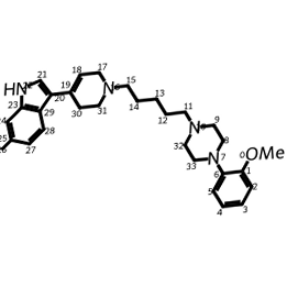 COc1ccccc1N1CCN(CCCCCN2CC=C(c3c[nH]c4cc(F)ccc34)CC2)CC1